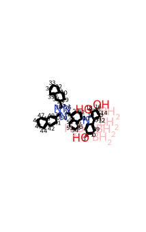 Bc1c(O)c(B)c2c(c1B)c1c(B)c(B)c(O)c(O)c1n2-c1ccc(-c2nc(-c3ccc4ccccc4c3)nc(-c3ccc4ccccc4c3)n2)c2ccccc12